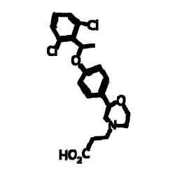 CC(Oc1ccc(C2CN(CCC(=O)O)CCO2)cc1)c1c(Cl)cccc1Cl